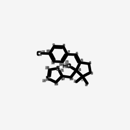 CC1(C)CCC(=Cc2ccc(Cl)cc2)C1(O)CC1CN=CS1